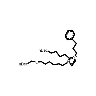 CCCCCCCCCCCCCCCCCCn1cc[n+](CCCc2ccccc2)c1CCCCCCCCCCCCCC